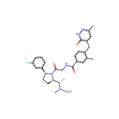 Cc1cc(Cc2ccc(C(=O)NCC(=O)N3[C@@H]([C@H](C)N(C)C(=O)O)CC[C@H]3c3cccc(F)c3)cc2C)c(=O)[nH]n1